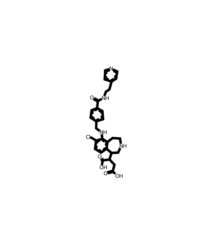 O=C(O)CC(C(=O)O)C1CNCCc2c1ccc(Cl)c2NCc1ccc(C(=O)NCCc2ccncc2)cc1